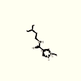 CC(C)CCNC(=O)c1cnn(C)c1